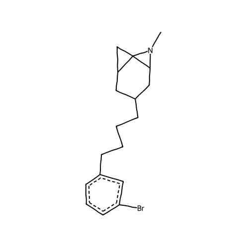 CN1C2CC(CCCCc3cccc(Br)c3)CC3CC321